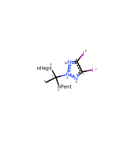 CCCCCCCC(C)(CCCCC)n1nc(I)c(I)n1